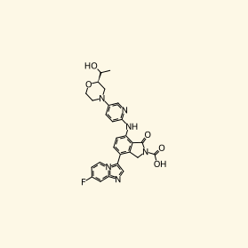 CC(O)[C@H]1CN(c2ccc(Nc3ccc(-c4cnc5cc(F)ccn45)c4c3C(=O)N(C(=O)O)C4)nc2)CCO1